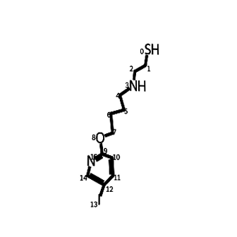 SCCNCCCCOc1ccc(I)cn1